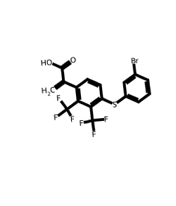 C=C(C(=O)O)c1ccc(Sc2cccc(Br)c2)c(C(F)(F)F)c1C(F)(F)F